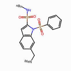 CCCCNS(=O)(=O)c1cc2ccc(CNC)cc2n1S(=O)(=O)c1ccccc1